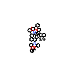 Cc1cccc(-c2ccccc2N(c2cc3c(c4ccccc24)-c2ccccc2C3(C(C)(C)C)C2(C(C)(C)C)c3ccccc3-c3c2cc(N(c2ccccc2-c2cccc(C)c2C)c2cccc4c2oc2ccccc24)c2ccccc32)c2cccc3c2oc2ccccc23)c1C